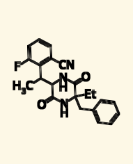 CCC1(Cc2ccccc2)NC(=O)C(C(C)c2c(F)cccc2C#N)NC1=O